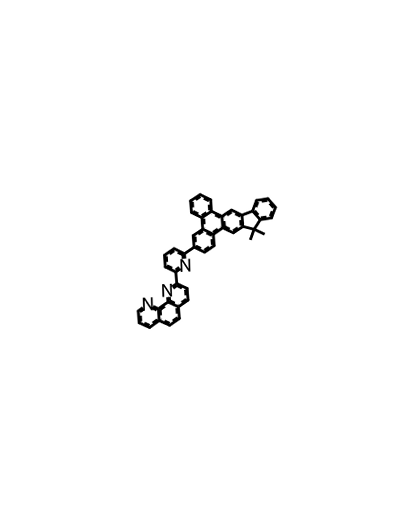 CC1(C)c2ccccc2-c2cc3c4ccccc4c4cc(-c5cccc(-c6ccc7ccc8cccnc8c7n6)n5)ccc4c3cc21